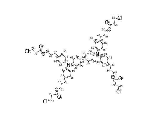 Cc1cc(N(c2ccc(CCCOC(=O)CCCl)cc2)c2ccc(-c3ccc(N(c4ccc(CCCOC(=O)CCCl)cc4)c4ccc(CCCOC(=O)CCCl)c(C)c4)cc3)cc2)ccc1CCCOC(=O)CCCl